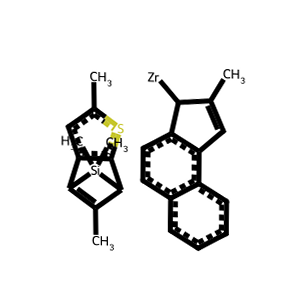 CC1=C2c3cc(C)sc3C1[Si]2(C)C.CC1=Cc2c(ccc3ccccc23)[CH]1[Zr]